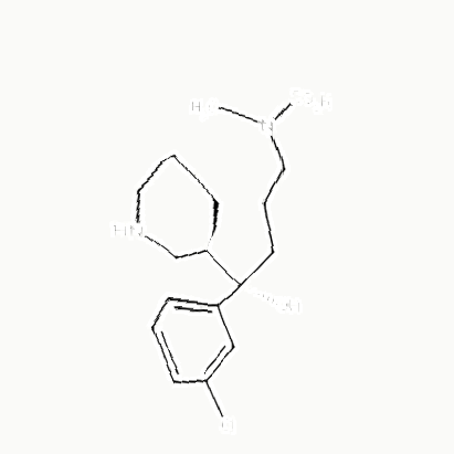 CN(CCC[C@@](O)(c1cccc(Cl)c1)[C@@H]1CCCNC1)C(=O)O